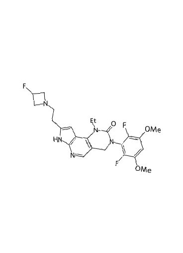 CCN1C(=O)N(c2c(F)c(OC)cc(OC)c2F)Cc2cnc3[nH]c(CCN4CC(F)C4)cc3c21